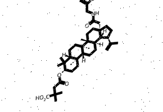 C=C(C)[C@@H]1CC[C@]2(CC(=O)NCc3ccco3)CC[C@]3(C)[C@H](CC[C@@H]4[C@@]5(C)CC[C@H](OC(=O)CC(C)(C)C(=O)O)C(C)(C)[C@@H]5CC[C@]43C)[C@@H]12